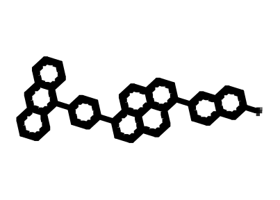 Fc1ccc2cc(-c3ccc4ccc5c(-c6ccc(-c7c8ccccc8cc8ccccc78)cc6)ccc6ccc3c4c65)ccc2c1